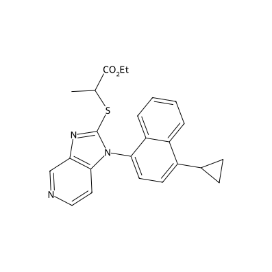 CCOC(=O)C(C)Sc1nc2cnccc2n1-c1ccc(C2CC2)c2ccccc12